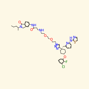 CCCC(C)N1Cc2cc(NC(=O)CCNCCOCCOCCn3cc([C@]4(Cc5cccc(Nc6nccs6)n5)CC[C@@H](Oc5cccc(Cl)c5F)CC4)nn3)ccc2C1=O